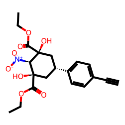 C#Cc1ccc([C@H]2C[C@@](O)(C(=O)OCC)[C@H]([N+](=O)[O-])[C@@](O)(C(=O)OCC)C2)cc1